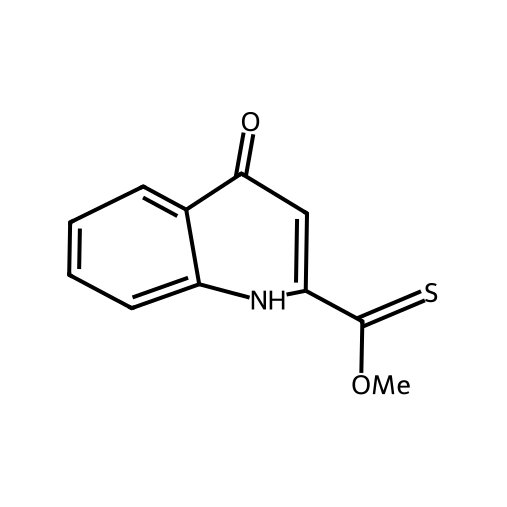 COC(=S)c1cc(=O)c2ccccc2[nH]1